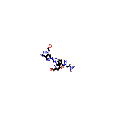 COCCNc1cc(NC(=O)N2c3nc(C=O)ccc3C3(C(=O)NCCN(C)C)CC2C3)ncc1C#N